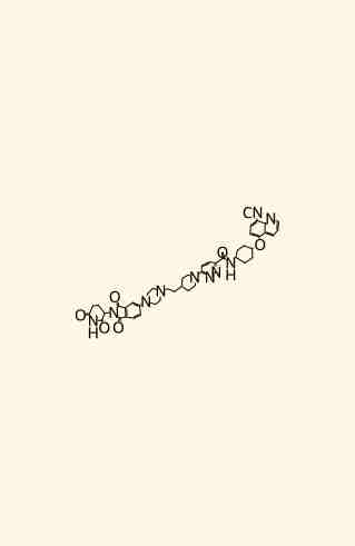 N#Cc1ccc(O[C@H]2CC[C@H](NC(=O)c3ccc(N4CCC(CCN5CCN(c6ccc7c(c6)C(=O)N(C6CCC(=O)NC6=O)C7=O)CC5)CC4)nn3)CC2)c2cccnc12